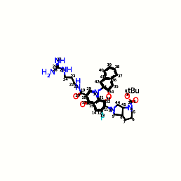 CC(C)(C)OC(=O)N1CCCC2CN(c3c(F)cc4c(=O)c(C(=O)NCCCNC(=N)N)cn5c4c3Oc3cc4ccccc4cc3-5)CC21